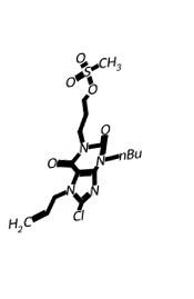 C=CCn1c(Cl)nc2c1c(=O)n(CCCOS(C)(=O)=O)c(=O)n2CCCC